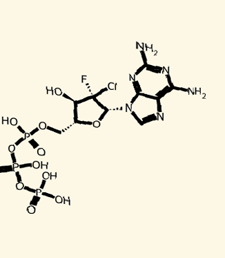 Nc1nc(N)c2ncn([C@@H]3O[C@H](COP(=O)(O)OP(=O)(O)OP(=O)(O)O)[C@@H](O)[C@@]3(F)Cl)c2n1